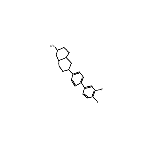 CCCC1CCC2CC(c3ccc(-c4ccc(F)c(F)c4)cc3)CCC2C1